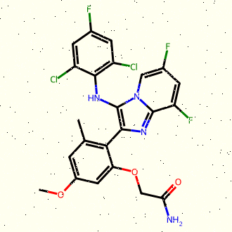 COc1cc(C)c(-c2nc3c(F)cc(F)cn3c2Nc2c(Cl)cc(F)cc2Cl)c(OCC(N)=O)c1